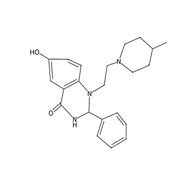 CC1CCN(CCN2c3ccc(O)cc3C(=O)NC2c2ccccc2)CC1